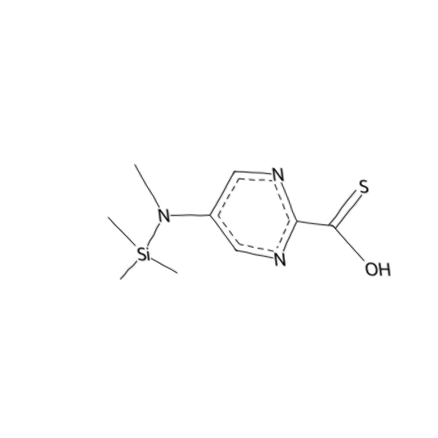 CN(c1cnc(C(O)=S)nc1)[Si](C)(C)C